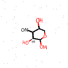 O=NC1C(O)COC(O)[C@H]1O